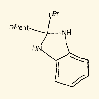 CCCCCC1(CCC)Nc2ccccc2N1